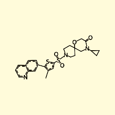 Cc1cc(S(=O)(=O)N2CCC3(CC2)CN(C2CC2)C(=O)CO3)sc1-c1ccc2cccnc2c1